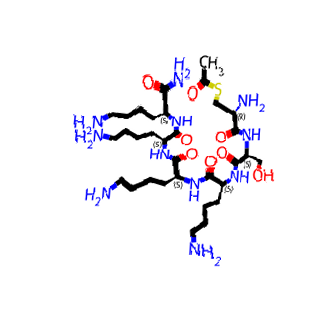 CC(=O)SC[C@H](N)C(=O)N[C@@H](CO)C(=O)N[C@@H](CCCCN)C(=O)N[C@@H](CCCCN)C(=O)N[C@@H](CCCCN)C(=O)N[C@@H](CCCCN)C(N)=O